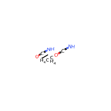 C.C.CC.N=C=O.N=C=O